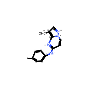 Cc1ccc(Nc2ccn3ncc(C=O)c3n2)cc1